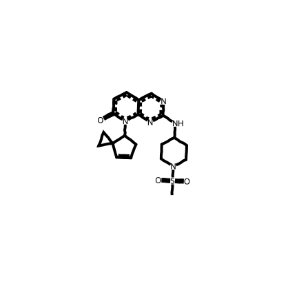 CS(=O)(=O)N1CCC(Nc2ncc3ccc(=O)n(C4CC=CC45CC5)c3n2)CC1